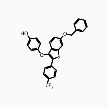 Oc1ccc(Oc2c(-c3ccc(C(F)(F)F)cc3)sc3cc(OCc4ccccc4)ccc23)cc1